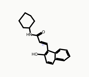 O=C(/C=C/c1c(O)ccc2ccccc12)NC1CCCCC1